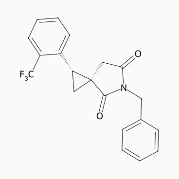 O=C1C[C@@]2(C[C@@H]2c2ccccc2C(F)(F)F)C(=O)N1Cc1ccccc1